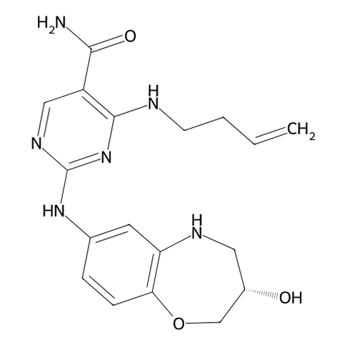 C=CCCNc1nc(Nc2ccc3c(c2)NC[C@H](O)CO3)ncc1C(N)=O